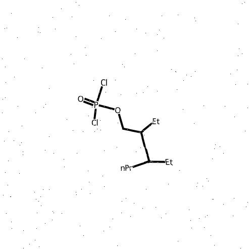 CCCC(CC)C(CC)COP(=O)(Cl)Cl